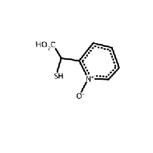 O=C(O)C(S)c1cccc[n+]1[O-]